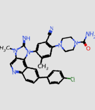 Cc1cc(N2CCN(C(N)=O)CC2)c(C#N)cc1-n1c(=N)n(C)c2cnc3ccc(-c4ccc(Cl)cc4)cc3c21